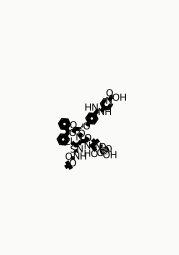 CC(C)(C)OC(=O)Nc1nc(/C(=N/O[C@@H](COc2ccc(C(=N)NC3CCN(C(=O)O)CC3)cc2)C(=O)OC(c2ccccc2)c2ccccc2)C(=O)N[C@@H]2C(=O)N(OS(=O)(=O)O)C2(C)C)c(Cl)s1